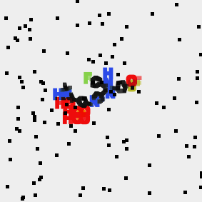 C[S+]([O-])c1ccc(-c2nc(-c3cc[n+](Cc4ccc(C(O)CNC(C)(C)C)cc4OP(=O)(O)O)cc3)c(-c3ccc(F)cc3)[nH]2)cc1